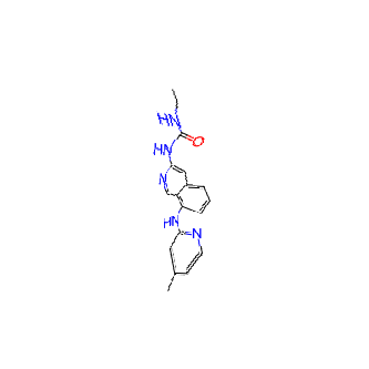 CCNC(=O)Nc1cc2cccc(Nc3cc(C)ccn3)c2cn1